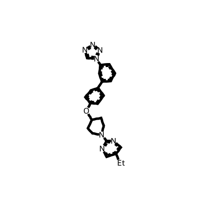 CCc1cnc(N2CCC(Oc3ccc(-c4cccc(-n5cnnn5)c4)cc3)CC2)nc1